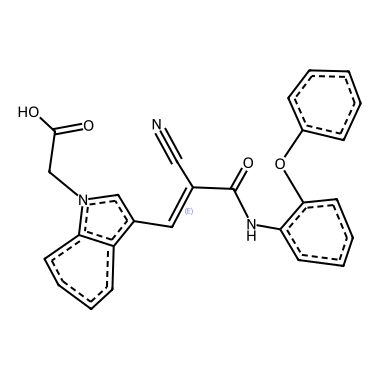 N#C/C(=C\c1cn(CC(=O)O)c2ccccc12)C(=O)Nc1ccccc1Oc1ccccc1